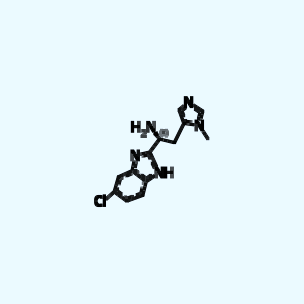 Cn1cncc1C[C@H](N)c1nc2cc(Cl)ccc2[nH]1